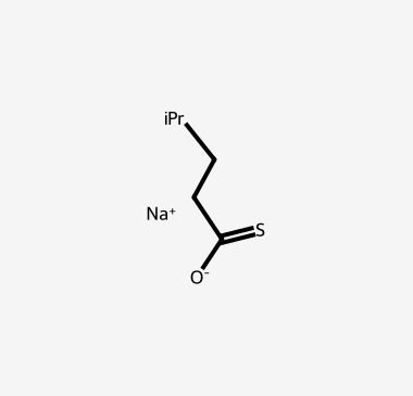 CC(C)CCC([O-])=S.[Na+]